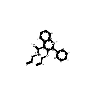 C=CCNC(=O)c1c(SCC=C)c(-c2ccccc2)nc2ccccc12